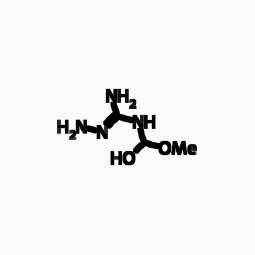 COC(O)NC(N)=NN